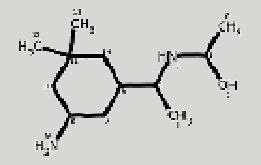 CC(O)NC(C)C1CC(N)CC(C)(C)C1